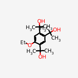 CCOc1cc(C(C)(C)O)c(C(C)(C)O)cc1C(C)(C)O